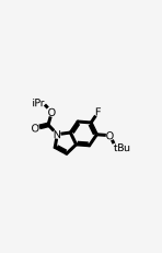 CC(C)OC(=O)n1ccc2cc(OC(C)(C)C)c(F)cc21